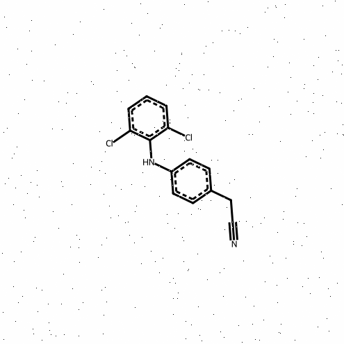 N#CCc1ccc(Nc2c(Cl)cccc2Cl)cc1